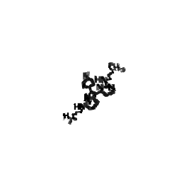 CCCCNc1nccc(-c2c(-c3ccc(F)cc3)nn3c(NCCC)cccc23)n1